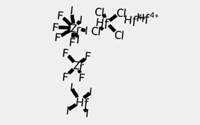 [Cl][Hf]([Cl])([Cl])[Cl].[F][Zr]([F])([F])([F])([I])([I])([I])[I].[F][Zr]([F])([F])[F].[Hf+4].[Hf+4].[I][Hf]([I])([I])[I]